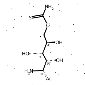 CC(=O)[C@H](N)[C@@H](O)[C@H](O)[C@H](O)COC(N)=S